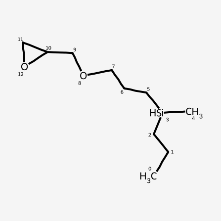 CCC[SiH](C)CCCOCC1CO1